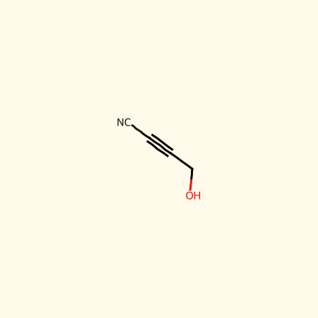 N#CC#CCO